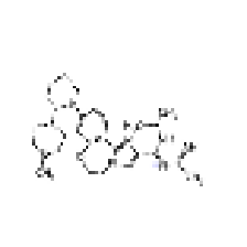 CC(=N)/N=C(\NC(C)C)c1cn2c(n1)-c1ccc(N3CCCCC3C3CCN(C)CC3)cc1OCC2